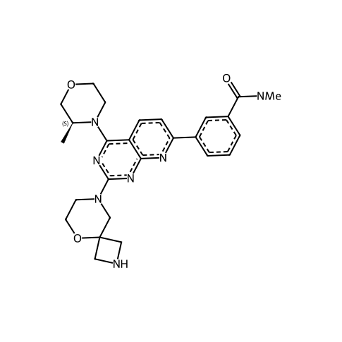 CNC(=O)c1cccc(-c2ccc3c(N4CCOC[C@@H]4C)nc(N4CCOC5(CNC5)C4)nc3n2)c1